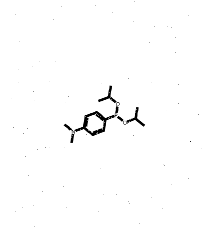 CC(C)OP(OC(C)C)c1ccc(N(C)C)cc1